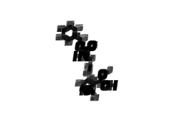 COC(O)c1c(C#CCNC(=O)OCc2ccccc2)cnn1C